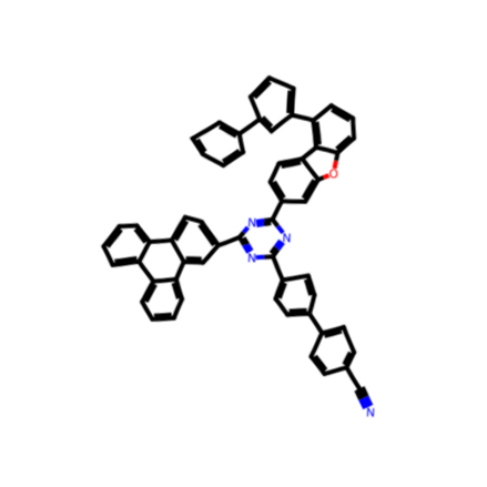 N#Cc1ccc(-c2ccc(-c3nc(-c4ccc5c(c4)oc4cccc(-c6cccc(-c7ccccc7)c6)c45)nc(-c4ccc5c6ccccc6c6ccccc6c5c4)n3)cc2)cc1